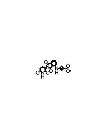 COC(=O)C12CC(Nc3cccc4c3C(=O)N(C3CCC(=O)NC3=O)C4=O)(C1)C2